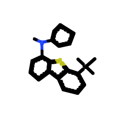 CN(c1ccccc1)c1cccc2c1sc1c([Si](C)(C)C)cccc12